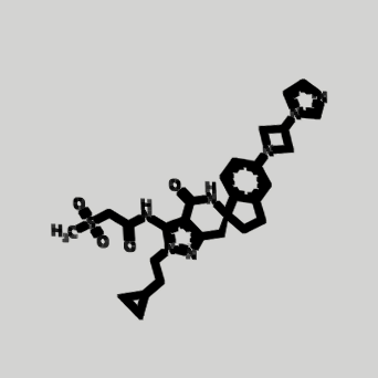 CS(=O)(=O)CC(=O)Nc1c2c(nn1CCC1CC1)C[C@@]1(CCc3cc(N4CC(n5ccnc5)C4)ccc31)NC2=O